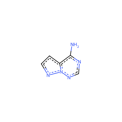 Nc1ncnn2nccc12